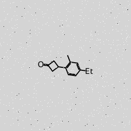 CCc1ccc(C2CC(=O)C2)c(C)c1